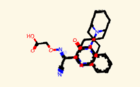 N#C/C(=N\OCC(=O)O)c1nc2ccccc2n(C2CC3CCCC(C2)N3C2CC3CCCC(C3)C2)c1=O